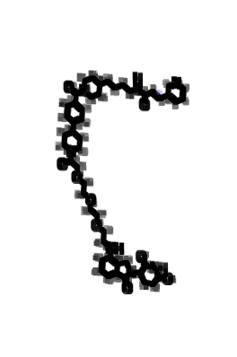 O=C(/C=C/c1cccnc1)NCCCCC1CCN(C(=O)c2ccc(C3CCN(C(=O)COCCOCCOCCNc4cccc5c4CN(C4CCC(=O)NC4=O)C5=O)CC3)cc2)CC1